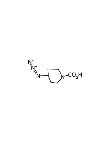 [N-]=[N+]=NC1CCN(C(=O)O)CC1